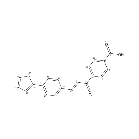 O=C(O)c1ccc(C(=O)C=Cc2ccc(-c3cccs3)cc2)cc1